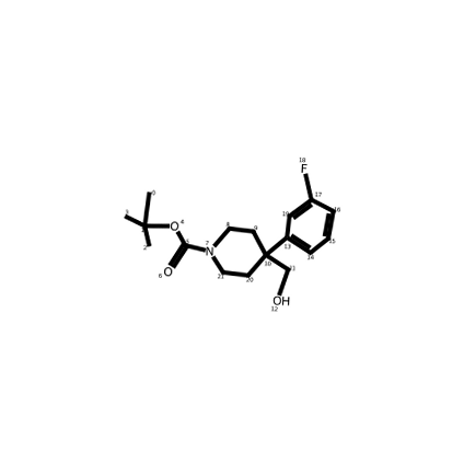 CC(C)(C)OC(=O)N1CCC(CO)(c2cccc(F)c2)CC1